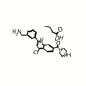 CCCC(=O)O.NCc1cccc(-c2cc(Cl)c3ccc(C(=O)N4CCNCC4)cc3n2)c1